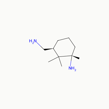 CC1(C)[C@@H](CN)CCC[C@]1(C)N